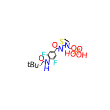 CC(C)(C)CC(=O)Nc1c(F)cc(C(=O)N=c2sccn2COP(=O)(O)O)cc1F